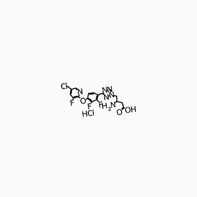 Cl.NC(CC(=O)O)Cn1nnc(-c2ccc(Oc3ncc(Cl)cc3F)c(F)c2F)n1